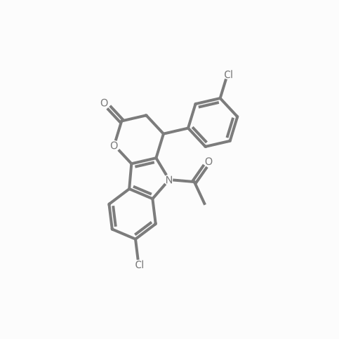 CC(=O)n1c2c(c3ccc(Cl)cc31)OC(=O)CC2c1cccc(Cl)c1